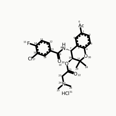 CC(=O)c1ccc2c(c1)[C@@H](NC(=O)c1ccc(F)c(Cl)c1)[C@H](OC(=O)CN(C)C)C(C)(C)O2.Cl